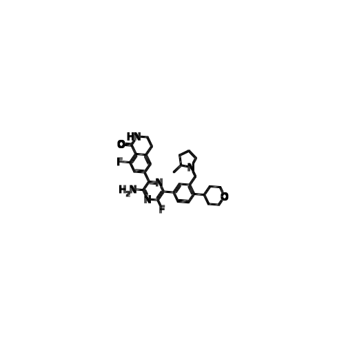 CC1CCCN1Cc1cc(-c2nc(-c3cc(F)c4c(c3)CCNC4=O)c(N)nc2F)ccc1C1CCOCC1